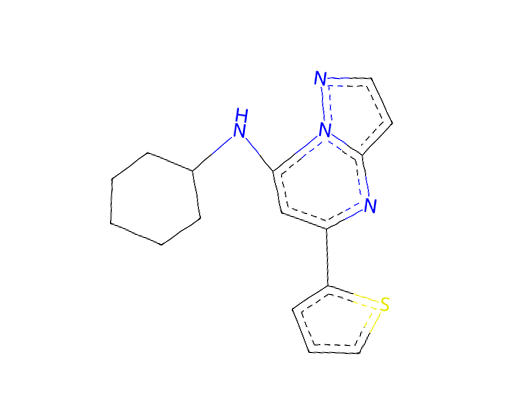 c1csc(-c2cc(NC3CCCCC3)n3nccc3n2)c1